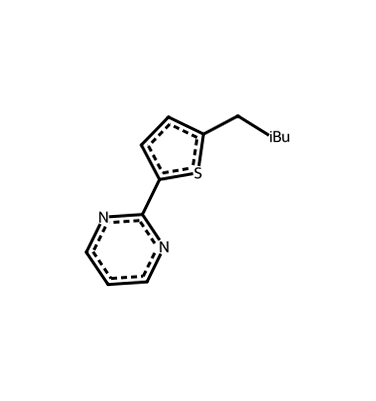 CCC(C)Cc1ccc(-c2ncccn2)s1